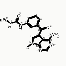 CCCNC(=O)Nc1cccc(C(=O)c2cn(C)c3ncnc(N)c23)c1